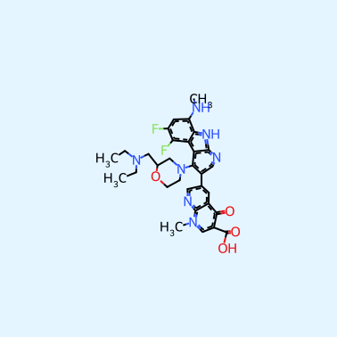 CCN(CC)CC1CN(c2c(-c3cnc4c(c3)c(=O)c(C(=O)O)cn4C)cnc3[nH]c4c(NC)cc(F)c(F)c4c23)CCO1